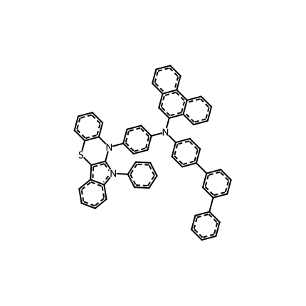 c1ccc(-c2cccc(-c3ccc(N(c4ccc(N5c6ccccc6Sc6c5n(-c5ccccc5)c5ccccc65)cc4)c4cc5ccccc5c5ccccc45)cc3)c2)cc1